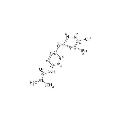 CN(C)C(=O)Nc1ccc(Oc2cc(C(C)(C)C)c(Cl)nn2)cc1